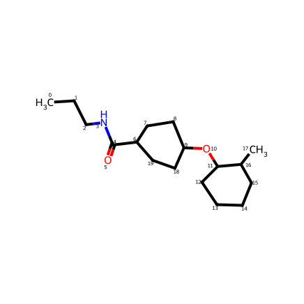 CCCNC(=O)C1CCC(OC2CCCCC2C)CC1